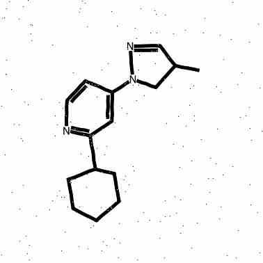 CC1C=NN(c2ccnc(C3CCCCC3)c2)C1